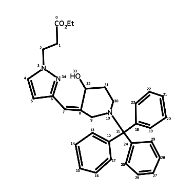 CCOC(=O)CCn1ccc(C=C2CN(C(c3ccccc3)(c3ccccc3)c3ccccc3)CCC2O)n1